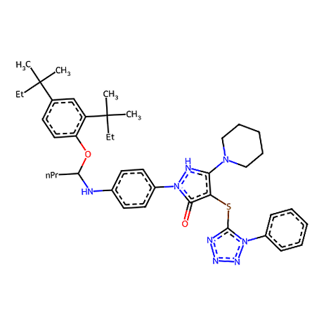 CCCC(Nc1ccc(-n2[nH]c(N3CCCCC3)c(Sc3nnnn3-c3ccccc3)c2=O)cc1)Oc1ccc(C(C)(C)CC)cc1C(C)(C)CC